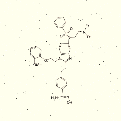 CCN(CC)CCN(c1ccc2c(c1)nc(CCc1ccc(C(N)=NO)cc1)n2CCOc1ccccc1OC)S(=O)(=O)c1ccccc1